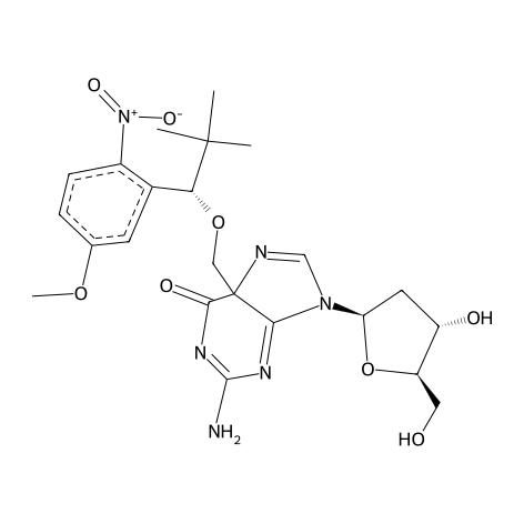 COc1ccc([N+](=O)[O-])c([C@@H](OCC23N=CN([C@H]4C[C@H](O)[C@@H](CO)O4)C2=NC(N)=NC3=O)C(C)(C)C)c1